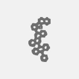 c1ccc(-c2c3ccccc3c(-c3cc4c5ccccc5c(-c5cccc6c5oc5c7ccccc7ccc65)cc4c4ccccc34)c3ccccc23)cc1